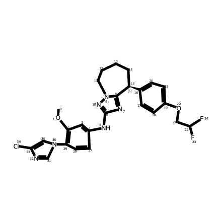 COc1cc(Nc2nc3n(n2)CCCC[C@H]3c2ccc(OCC(F)F)cc2)ccc1-n1cnc(Cl)c1